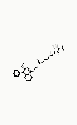 COC(=O)C(c1ccccc1)C1CCCCN1C(=O)OCOC(=O)CCCCCNC(=O)C(N)C(C)C